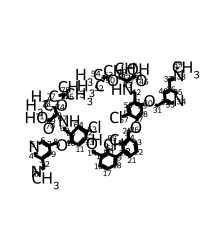 C/N=C/c1cncc(COc2cc(OCc3cccc(-c4cccc(COc5cc(OCc6cncc(/C=N/C)c6)c(CN[C@H](C(=O)O)[C@@H](C)OC(C)(C)C)cc5Cl)c4C)c3C)c(Cl)cc2CN[C@H](C(=O)O)[C@@H](C)OC(C)(C)C)c1